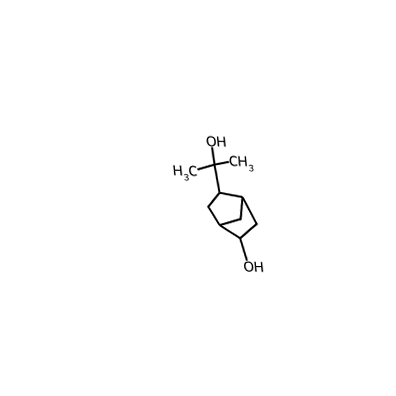 CC(C)(O)C1CC2CC1CC2O